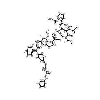 CC[C@H](C)[C@@H]([C@H](CC(=O)N1CCC[C@H]1[C@H](OC)[C@@H](C)C(=O)N[C@@H](Cc1ccccc1)C(=O)Nc1ccc(CNC(=O)OCc2ccccc2)cc1)OC)N(C)C(=O)[C@@H](NC(=O)C1C2CCC(C2)N1C(=O)O)C(C)C